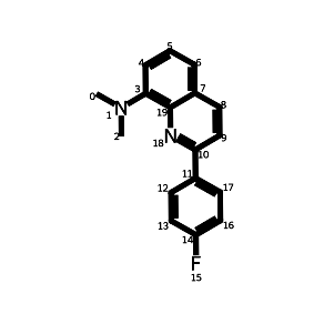 CN(C)c1cccc2ccc(-c3ccc(F)cc3)nc12